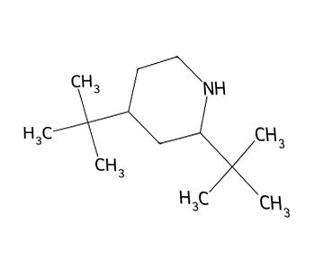 CC(C)(C)C1CCNC(C(C)(C)C)C1